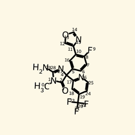 CN1C(=O)C(c2ccc(F)c(-c3cocn3)c2)(c2cc(C(F)(F)F)ccn2)N=C1N